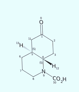 O=C1CC[C@H]2[C@@H](CCCN2C(=O)O)C1